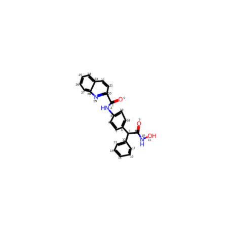 O=C(Nc1ccc(C(C(=O)NO)c2ccccc2)cc1)c1ccc2ccccc2n1